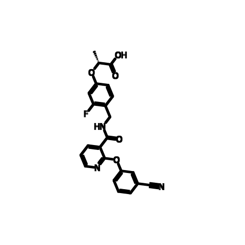 C[C@@H](Oc1ccc(CNC(=O)c2cccnc2Oc2cccc(C#N)c2)c(F)c1)C(=O)O